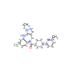 CCn1ncc2c1Nc1cc(Cl)ccc1N(C(=O)C1CCN(c3cccc(C)n3)CC1)C2